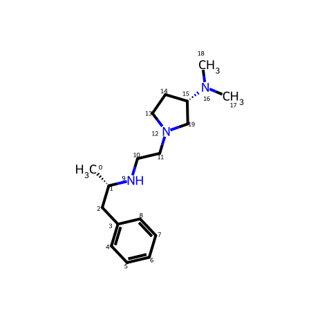 C[C@@H](Cc1ccccc1)NCCN1CC[C@H](N(C)C)C1